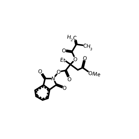 C=C(C)C(=O)OC(CC)(CC(=O)OC)C(=O)ON1C(=O)c2ccccc2C1=O